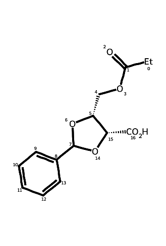 CCC(=O)OC[C@H]1OC(c2ccccc2)O[C@H]1C(=O)O